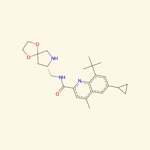 Cc1cc(C(=O)NC[C@@H]2CC3(CN2)OCCO3)nc2c(C(C)(C)C)cc(C3CC3)cc12